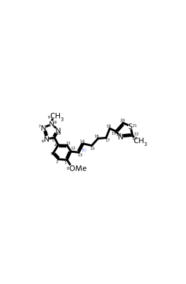 COc1ccc(-c2nnn(C)n2)cc1/C=C/CCCCc1csc(C)n1